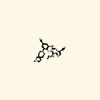 CCNc1nc(Nc2cc(C#N)cc(N3CCC4(CCN(C)C4)CC3)c2Cl)nn2c(C#N)cnc12